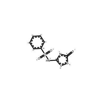 O=S(=O)(Nc1nc(=S)ss1)c1ccccc1